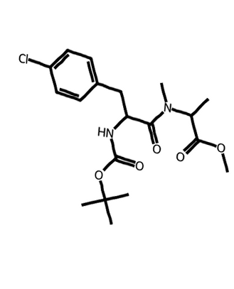 COC(=O)C(C)N(C)C(=O)C(Cc1ccc(Cl)cc1)NC(=O)OC(C)(C)C